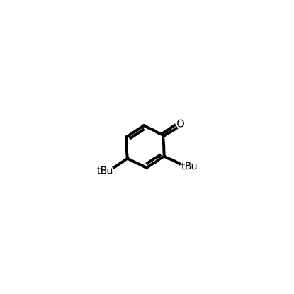 CC(C)(C)C1=CC(C(C)(C)C)C=CC1=O